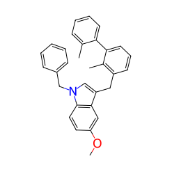 COc1ccc2c(c1)c(Cc1cccc(-c3ccccc3C)c1C)cn2Cc1ccccc1